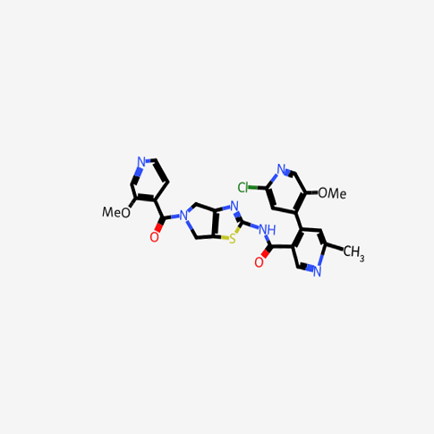 COc1cnccc1C(=O)N1Cc2nc(NC(=O)c3cnc(C)cc3-c3cc(Cl)ncc3OC)sc2C1